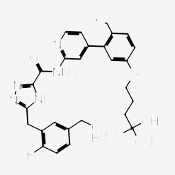 CCc1ccc(F)c(Cc2nnc(C(=O)Nc3cc(-c4cc(OCCCC(C)(C)O)ccc4Cl)ccn3)[nH]2)c1